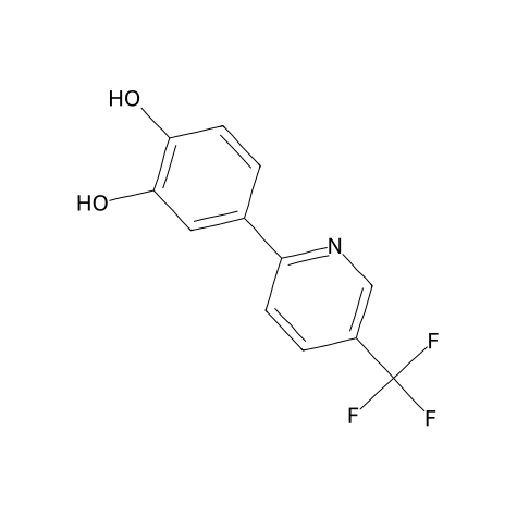 Oc1ccc(-c2ccc(C(F)(F)F)cn2)cc1O